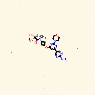 CC[C@@](C)(O)C(=O)N(C)[C@H]1C[C@H](Oc2cc(-c3cnc(N)nc3)nc(N3CCOCC3)n2)C1